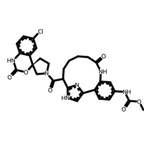 COC(=O)Nc1ccc2c(c1)NC(=O)CCCCC(C(=O)N1CC[C@@]3(C1)OC(=O)Nc1ccc(Cl)cc13)c1nc-2c[nH]1